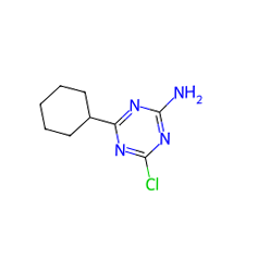 Nc1nc(Cl)nc(C2CCCCC2)n1